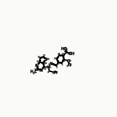 CCOc1cc(/C=N/N(CC(C)C)c2nc(C)nc3ccsc23)ccc1B(O)O